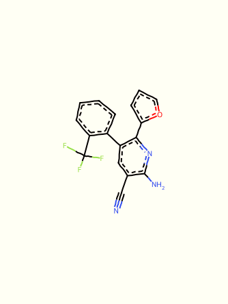 N#Cc1cc(-c2ccccc2C(F)(F)F)c(-c2ccco2)nc1N